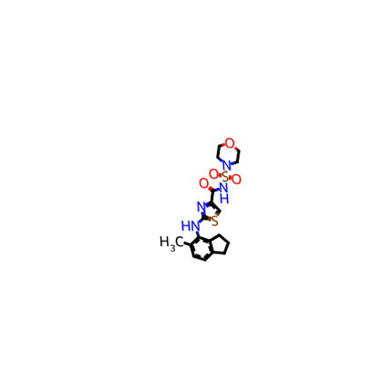 Cc1ccc2c(c1Nc1nc(C(=O)NS(=O)(=O)N3CCOCC3)cs1)CCC2